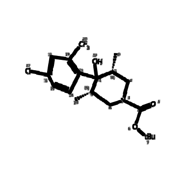 C[C@@H]1CN(C(=O)OC(C)(C)C)C[C@H](C)C1(O)c1ccc(Cl)cc1C(F)(F)F